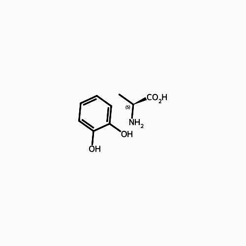 C[C@H](N)C(=O)O.Oc1ccccc1O